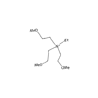 CC[N+](CCOC)(CCOC)CCOC